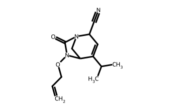 C=CCON1C(=O)N2CC1C(C(C)C)=CC2C#N